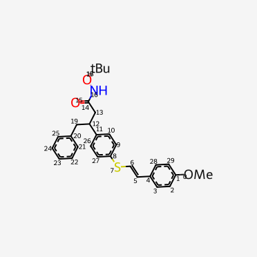 COc1ccc(C=CSc2ccc(C(CC(=O)NOC(C)(C)C)Cc3ccccc3)cc2)cc1